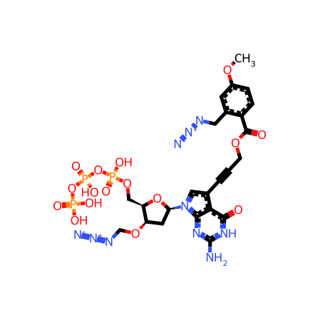 COc1ccc(C(=O)OCC#Cc2cn([C@H]3C[C@@H](OCN=[N+]=[N-])[C@@H](COP(=O)(O)OP(=O)(O)OP(=O)(O)O)O3)c3nc(N)[nH]c(=O)c23)c(CN=[N+]=[N-])c1